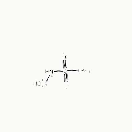 CCCCCS(=O)(=O)NS(=O)(=O)O